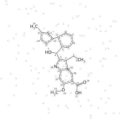 CCc1c(C(O)c2ccccc2-c2ccc(C)s2)nc2cc(OC)c(C(=O)O)cn12